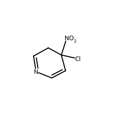 O=[N+]([O-])C1(Cl)C=CN=CC1